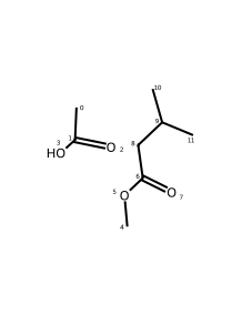 CC(=O)O.COC(=O)CC(C)C